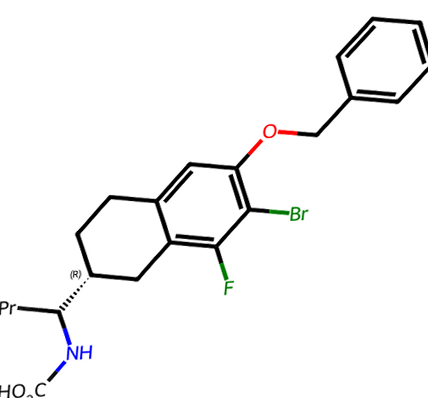 CCCC(NC(=O)O)[C@@H]1CCc2cc(OCc3ccccc3)c(Br)c(F)c2C1